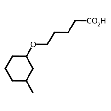 CC1CCCC(OCCCCC(=O)O)C1